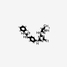 CCc1nc(Nc2ccc(NC(=O)Nc3ccccc3)cc2)nc(Nc2cc(C)[nH]n2)n1